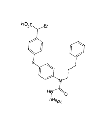 CCCCCCCNC(=O)N(CCCc1ccccc1)c1ccc(Sc2ccc(C(CC)C(=O)O)cc2)cc1